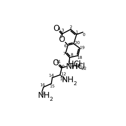 Cc1cc(=O)oc2cc(NC(=O)[C@@H](N)CCCN)ccc12.Cl.Cl